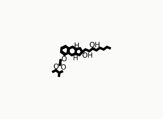 CCCCC[C@@H](O)CC[C@]1(O)C[C@H]2Cc3cccc(OCC(=O)OC(C)C(C)C)c3C[C@H]2C1